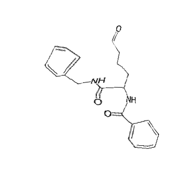 O=CCCCC(NC(=O)c1ccccc1)C(=O)NCc1ccccc1